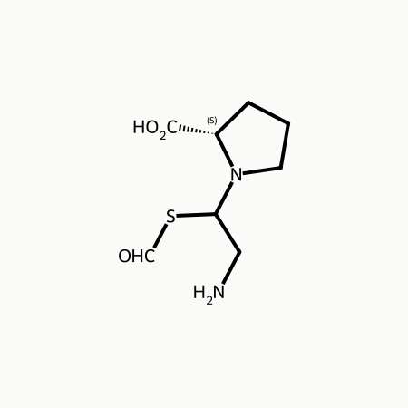 NCC(SC=O)N1CCC[C@H]1C(=O)O